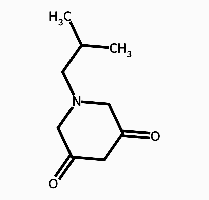 CC(C)CN1CC(=O)CC(=O)C1